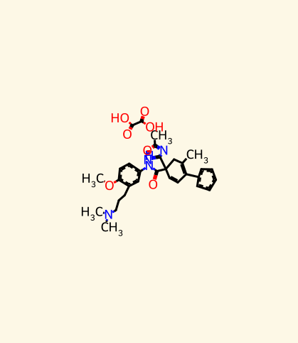 COc1ccc(NC(=O)C2(c3noc(C)n3)C=CC(c3ccccc3)=C(C)C2)cc1CCCN(C)C.O=C(O)C(=O)O